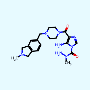 CN1Cc2ccc(CN3CCN(C(=O)c4ncn(C(=O)N(C)N)c4N)CC3)cc2C1